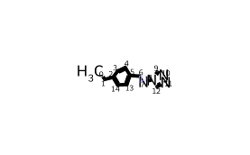 CCc1ccc(/C=N/n2cnnc2)cc1